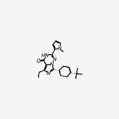 CCc1nc([C@H]2CC[C@@H](C(C)(C)C)CC2)n2nc(-c3cccn3C)[nH]c(=O)c12